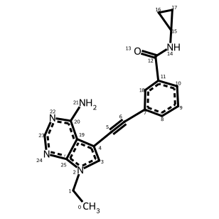 CCn1cc(C#Cc2cccc(C(=O)NC3CC3)c2)c2c(N)ncnc21